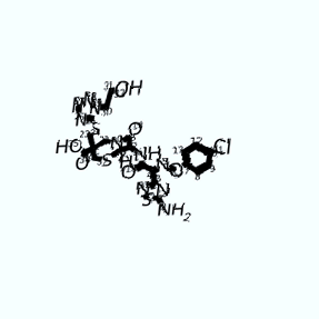 Nc1nc(C(=NOc2ccc(Cl)cc2)C(=O)NC2C(=O)N3CC(CSc4nnnn4CCO)(C(=O)O)CS[C@H]23)ns1